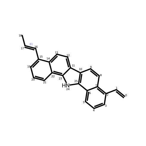 C=Cc1cccc2c1ccc1c3ccc4c(/C=C/C)cccc4c3[nH]c21